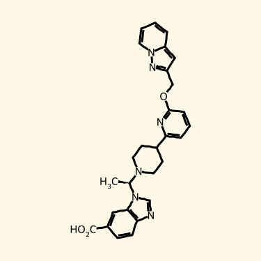 C[C@@H](N1CCC(c2cccc(OCc3cc4ccccn4n3)n2)CC1)n1cnc2ccc(C(=O)O)cc21